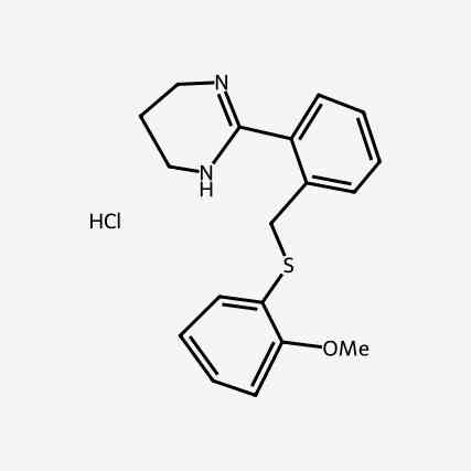 COc1ccccc1SCc1ccccc1C1=NCCCN1.Cl